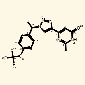 Cc1nc(-c2cn(C(C)c3ccc(OC(F)(F)F)cc3)nn2)cc(=O)[nH]1